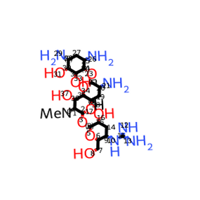 CNC1C(O[C@H]2OC(CO)C(NC(=N)N)CC2O)O[C@H]2CC(N)[C@@H](O[C@@H]3C(N)C[C@@H](N)C(O)C3O)OC2C1O